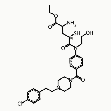 CCOC(=O)C(N)C[C@@H](S)C(=O)N(CCO)c1ccc(C(=O)N2CCN(CCc3ccc(Cl)cc3)CC2)cc1